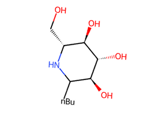 CCCCC1N[C@H](CO)[C@@H](O)[C@H](O)[C@H]1O